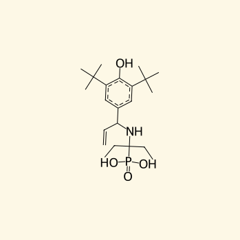 C=CC(NC(CC)(CC)P(=O)(O)O)c1cc(C(C)(C)C)c(O)c(C(C)(C)C)c1